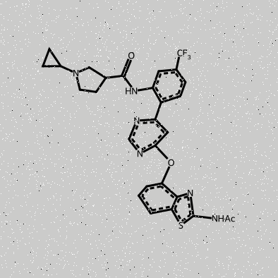 CC(=O)Nc1nc2c(Oc3cc(-c4ccc(C(F)(F)F)cc4NC(=O)C4CCN(C5CC5)C4)ncn3)cccc2s1